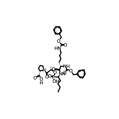 CCCCC(NC(=O)[C@H](CCCCNC(=O)OCc1ccccc1)NC(=O)OCc1ccccc1)P(=O)(O)O[C@@H](C)C(=O)N1CCC[C@H]1C(=O)O